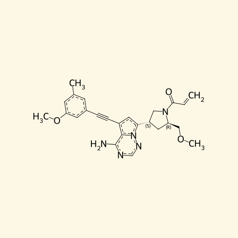 C=CC(=O)N1C[C@@H](c2cc(C#Cc3cc(C)cc(OC)c3)c3c(N)ncnn23)C[C@@H]1COC